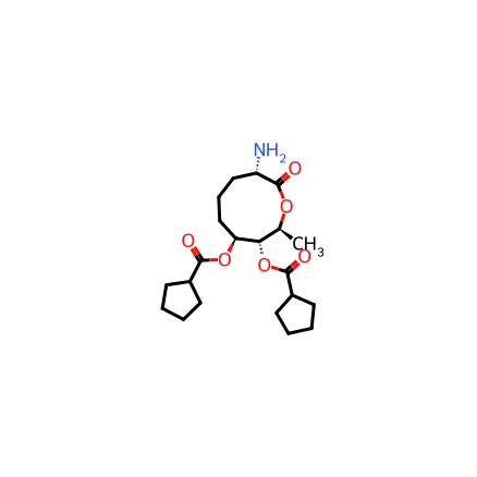 C[C@@H]1OC(=O)[C@@H](N)CCC[C@H](OC(=O)C2CCCC2)[C@H]1OC(=O)C1CCCC1